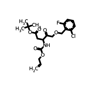 C=CCOC(=O)NC(CC(=O)OC(C)(C)C)C(=O)COCc1c(F)cccc1Cl